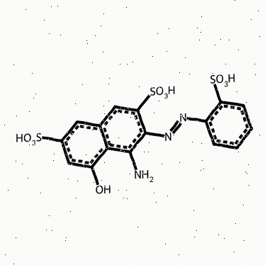 Nc1c(/N=N/c2ccccc2S(=O)(=O)O)c(S(=O)(=O)O)cc2cc(S(=O)(=O)O)cc(O)c12